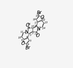 O=C1C2=C3c4cc(Br)oc4C=CN3C(=O)C2=C2c3cc(Br)oc3C=CN12